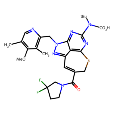 COc1c(C)cnc(Cn2nc3c4c(nc(N(C(=O)O)C(C)(C)C)nc42)SCC(C(=O)N2CCC(F)(F)C2)=C3)c1C